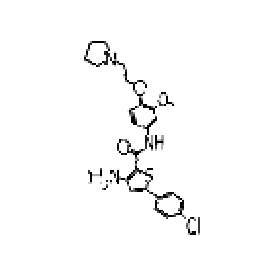 COc1cc(NC(=O)c2sc(-c3ccc(Cl)cc3)cc2N)ccc1OCCN1CCCC1